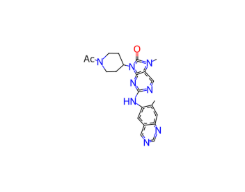 CC(=O)N1CCC(n2c(=O)n(C)c3cnc(Nc4cc5cncnc5cc4C)nc32)CC1